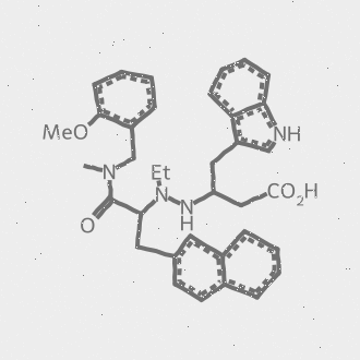 CCN(NC(CC(=O)O)Cc1c[nH]c2ccccc12)C(Cc1ccc2ccccc2c1)C(=O)N(C)Cc1ccccc1OC